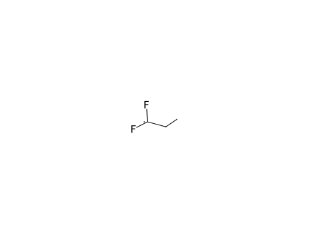 CC[C](F)F